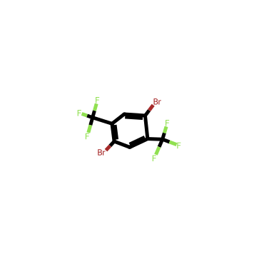 FC(F)(F)c1cc(Br)c(C(F)(F)F)cc1Br